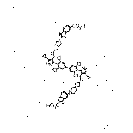 O=C(O)c1ccc2nc(N3CC4CC(OCc5c(-c6c(Cl)cc(-c7cc(Cl)c(-c8noc(C9CC9)c8COC8CC9(CCN(c%10ccc%11cc(C(=O)O)sc%11c%10)C9)C8)c(Cl)c7)cc6Cl)noc5C5CC5)CC4C3)sc2c1